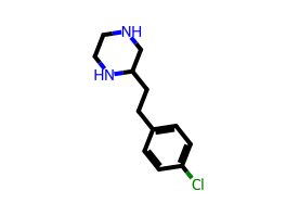 Clc1ccc(CCC2CNCCN2)cc1